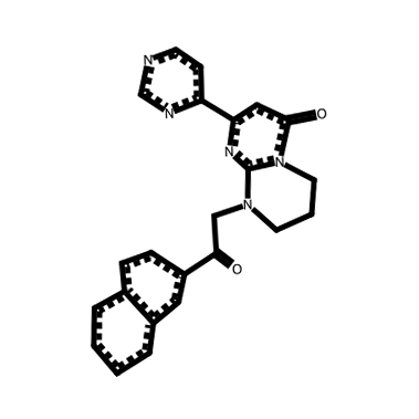 O=C(CN1CCCn2c1nc(-c1ccncn1)cc2=O)c1ccc2ccccc2c1